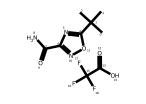 CC(C)(C)c1nc(C(N)=O)no1.O=C(O)C(F)(F)F